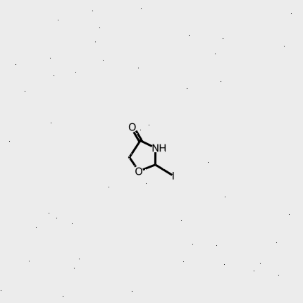 O=C1COC(I)N1